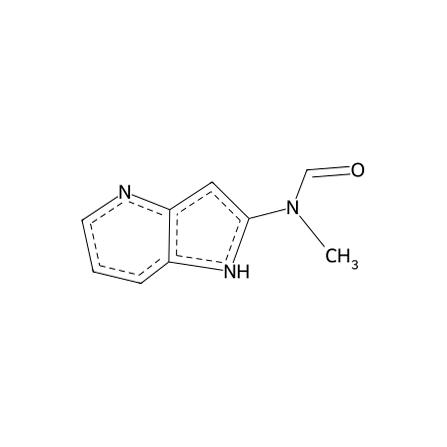 CN(C=O)c1cc2ncccc2[nH]1